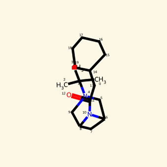 CC(C)(C)N1CC2CC(C1)N2C(=O)CC1CCCCC1